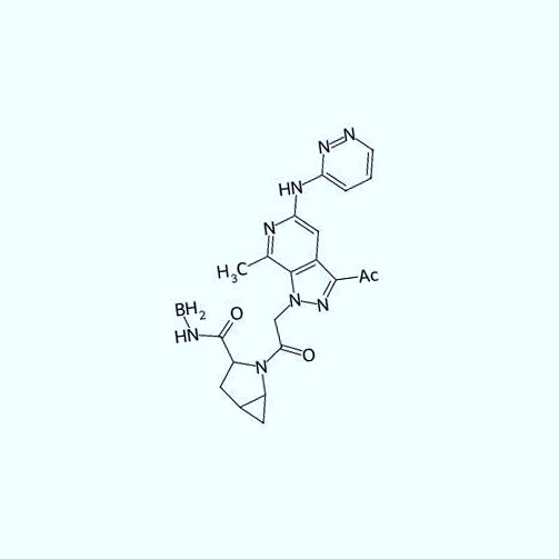 BNC(=O)C1CC2CC2N1C(=O)Cn1nc(C(C)=O)c2cc(Nc3cccnn3)nc(C)c21